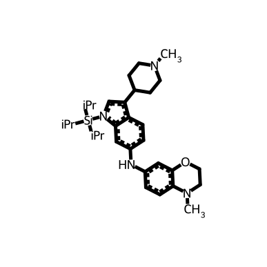 CC(C)[Si](C(C)C)(C(C)C)n1cc(C2CCN(C)CC2)c2ccc(Nc3ccc4c(c3)OCCN4C)cc21